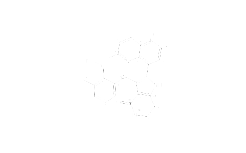 COc1c(Cl)cccc1Nc1c(-c2ccnc3ccc(F)nc23)[nH]c2c1C(=O)NCC2